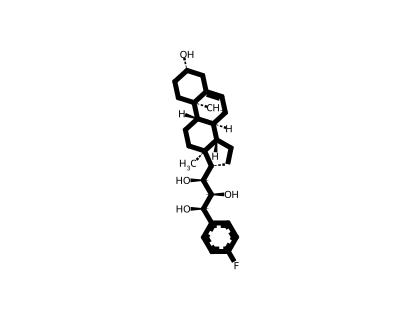 C[C@]12CC[C@H]3[C@@H](CC=C4C[C@@H](O)CC[C@@]43C)[C@@H]1CC[C@@H]2[C@H](O)[C@@H](O)[C@H](O)c1ccc(F)cc1